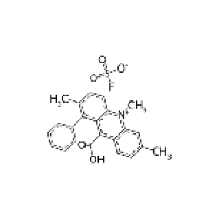 Cc1ccc2c(C(=O)O)c3c(-c4ccccc4)c(C)ccc3[n+](C)c2c1.O=S(=O)([O-])F